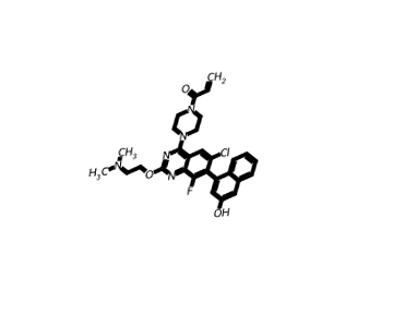 C=CC(=O)N1CCN(c2nc(OCCN(C)C)nc3c(F)c(-c4cc(O)cc5ccccc45)c(Cl)cc23)CC1